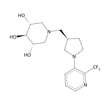 O[C@H]1[C@H](O)CN(C[C@H]2CCN(c3cccnc3C(F)(F)F)C2)C[C@@H]1O